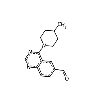 CC1CCN(c2ncnc3ccc(C=O)cc23)CC1